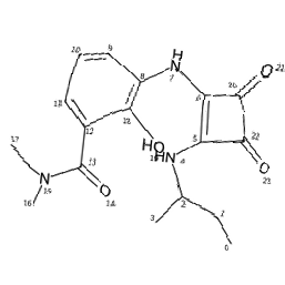 CCC(C)Nc1c(Nc2cccc(C(=O)N(C)C)c2O)c(=O)c1=O